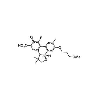 COCCCOc1cc2c(cc1C)-c1c(F)c(=O)c(C(=O)O)cn1C1[C@H]2OCC1(C)C